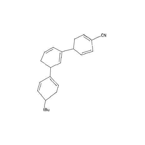 CC(C)(C)C1C=CC(C2C=C(C3C=CC(C#N)=CC3)C=CC2)=CC1